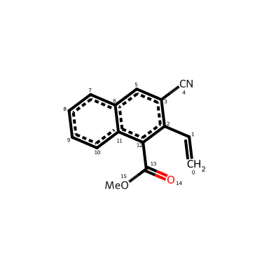 C=Cc1c(C#N)cc2ccccc2c1C(=O)OC